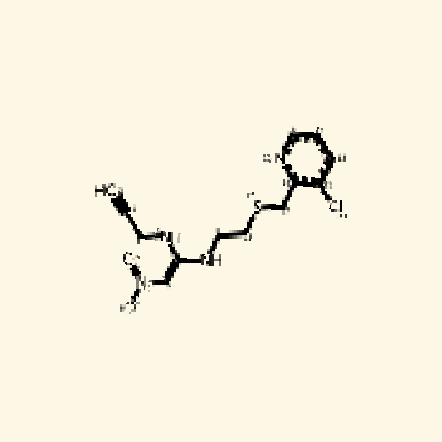 C#CCNC(=C[N+](=O)[O-])NCCSCc1ncccc1Cl